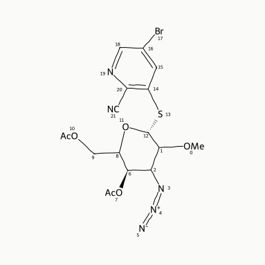 COC1C(N=[N+]=[N-])[C@@H](OC(C)=O)C(COC(C)=O)O[C@@H]1Sc1cc(Br)cnc1C#N